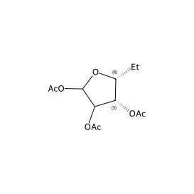 CC[C@H]1OC(OC(C)=O)C(OC(C)=O)[C@H]1OC(C)=O